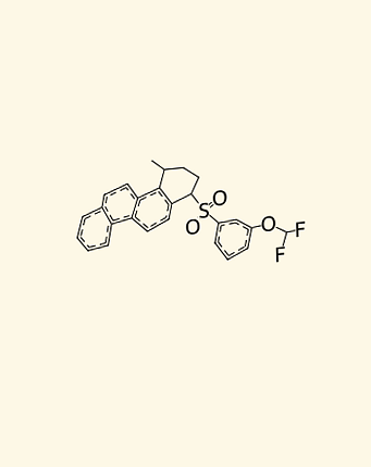 CC1CCC(S(=O)(=O)c2cccc(OC(F)F)c2)c2ccc3c(ccc4ccccc43)c21